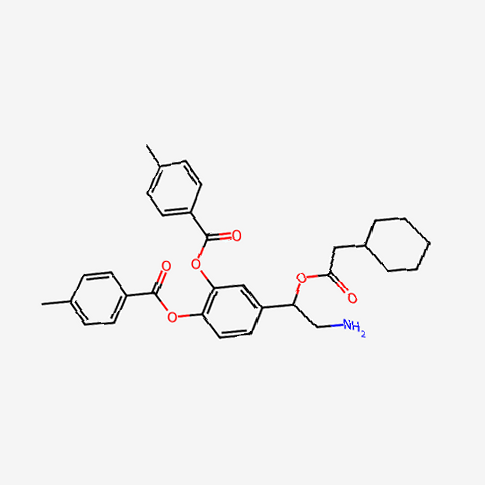 Cc1ccc(C(=O)Oc2ccc(C(CN)OC(=O)CC3CCCCC3)cc2OC(=O)c2ccc(C)cc2)cc1